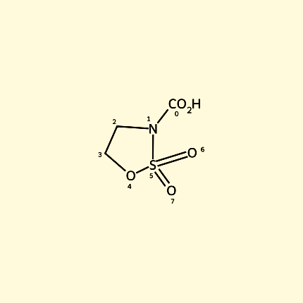 O=C(O)N1CCOS1(=O)=O